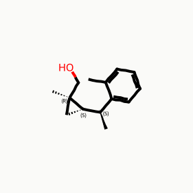 Cc1ccccc1[C@@H](C)[C@@H]1C[C@@]1(C)CO